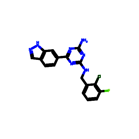 Nc1nc(NCc2cccc(F)c2Cl)nc(-c2ccc3cn[nH]c3c2)n1